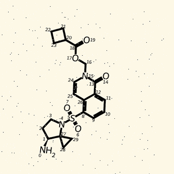 N[C@H]1CCN(S(=O)(=O)c2cccc3c(=O)n(COC(=O)C4CCC4)ccc23)C12CC2